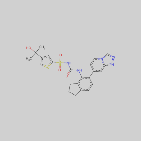 CC(C)(O)c1csc(S(=O)(=O)NC(=O)Nc2c(-c3ccn4cnnc4c3)ccc3c2CCC3)c1